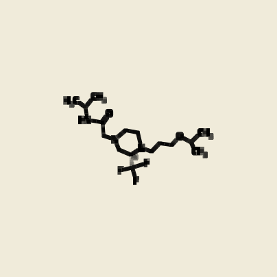 CC(C)NC(=O)CN1CCN(CCCOC(C)C)[C@H](C(F)(F)F)C1